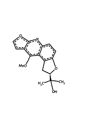 COc1c2ccoc2nc2ccc3c(c12)C[C@H](C(C)(C)O)O3